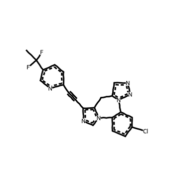 CC(F)(F)c1ccc(C#Cc2ncn3c2Cc2cnnn2-c2cc(Cl)ccc2-3)nc1